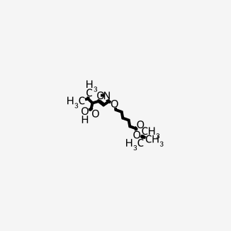 CC(C)C(C(=O)O)c1cc(OCCCCCC(=O)OC(C)(C)C)no1